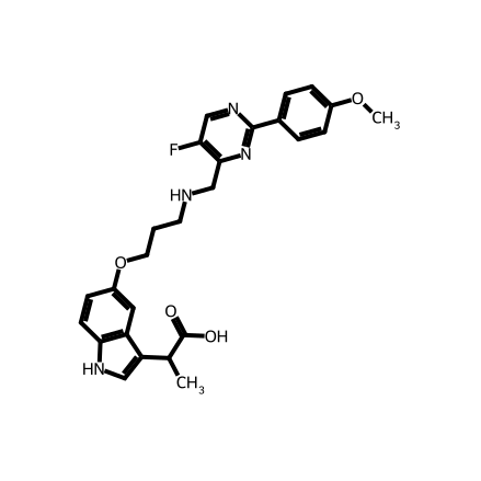 COc1ccc(-c2ncc(F)c(CNCCCOc3ccc4[nH]cc(C(C)C(=O)O)c4c3)n2)cc1